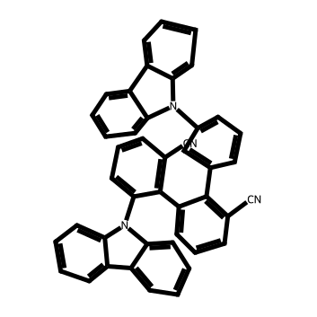 N#Cc1cccc(-c2c(C#N)cccc2-n2c3ccccc3c3ccccc32)c1-c1cccc(-n2c3ccccc3c3ccccc32)c1